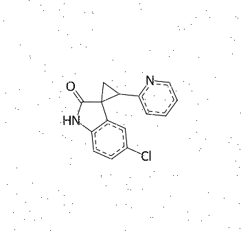 O=C1Nc2ccc(Cl)cc2C12CC2c1ccccn1